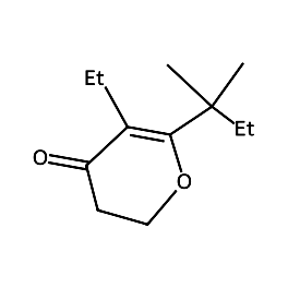 CCC1=C(C(C)(C)CC)OCCC1=O